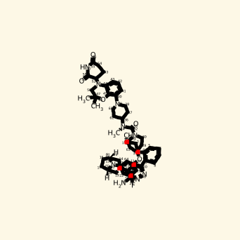 COCOc1ccccc1-c1cc(N2C[C@H]3CC[C@@H](C2)N3c2cc(F)cc(OC3CCN(C(=O)N(C)C4CCN(c5cccc6c5OC(C)(C)CN6C5CCC(=O)NC5=O)CC4)CC3)c2)c(N)nn1